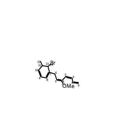 C=C/C=C\C(=C/CC1=CC=CC(C)C1Br)OC